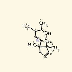 CC(O)C(C)/C=C/C1(C)CC=CC1(C)C